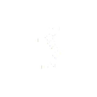 CNC1CN(c2c(F)cc3cc4c(=O)c(C(=O)O)cn(C)c4nc3c2F)C1